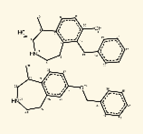 CC1CNCCc2c1ccc(O)c2Cc1ccccc1.CC1CNCCc2cc(OCc3ccccc3)ccc21.Cl